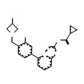 CNC1CN(Cc2ccc(-c3cccc4nc(NC(=O)C5CC5)nn34)cc2F)C1